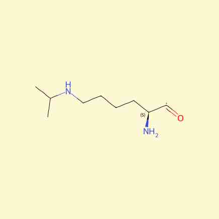 CC(C)NCCCC[C@H](N)[C]=O